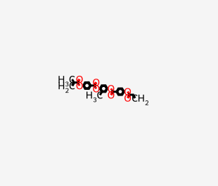 C=CC(=O)Oc1ccc(C(=O)Oc2ccc(OC(=O)c3ccc(OC(=O)C(=C)C)cc3)c(C)c2)cc1